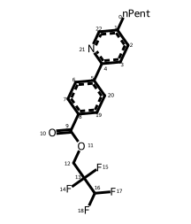 CCCCCc1ccc(-c2ccc(C(=O)OCC(F)(F)C(F)F)cc2)nc1